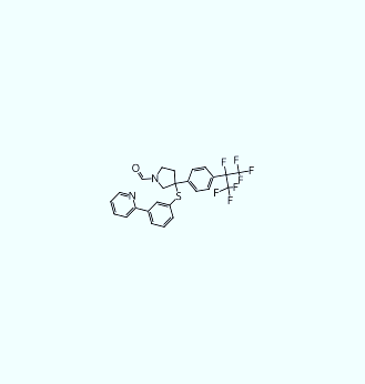 O=CN1CCC(Sc2cccc(-c3ccccn3)c2)(c2ccc(C(F)(C(F)(F)F)C(F)(F)F)cc2)C1